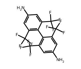 Nc1cc(C(F)(F)F)c(-c2c(C(F)(F)F)cc(N)cc2C(F)(F)F)c(C(F)(F)F)c1